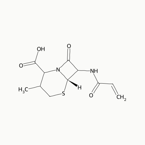 C=CC(=O)NC1C(=O)N2C(C(=O)O)C(C)CS[C@@H]12